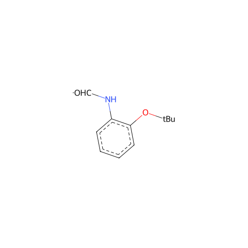 CC(C)(C)Oc1ccccc1N[C]=O